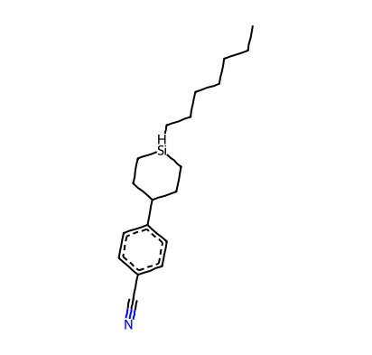 CCCCCCC[SiH]1CCC(c2ccc(C#N)cc2)CC1